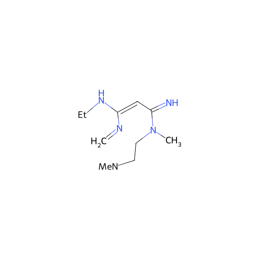 C=N/C(=C\C(=N)N(C)CCNC)NCC